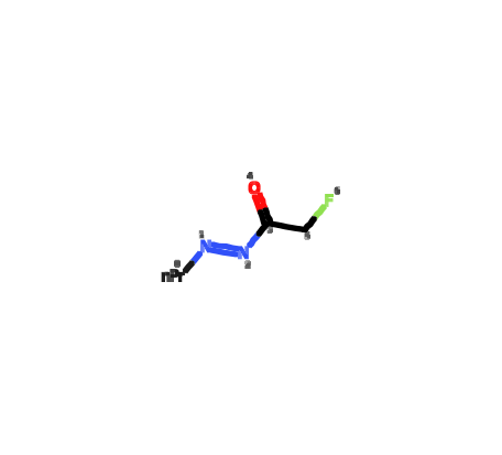 CCCN=NC(=O)CF